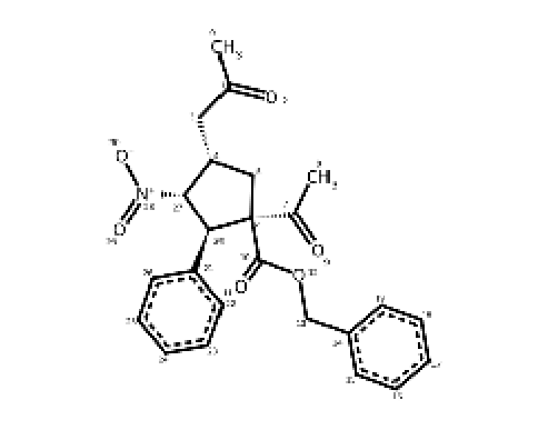 CC(=O)C[C@@H]1C[C@@](C(C)=O)(C(=O)OCc2ccccc2)[C@@H](c2ccccc2)[C@@H]1[N+](=O)[O-]